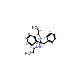 N#CCCNC(Cc1ccccc1)(NCCC#N)c1ccccc1